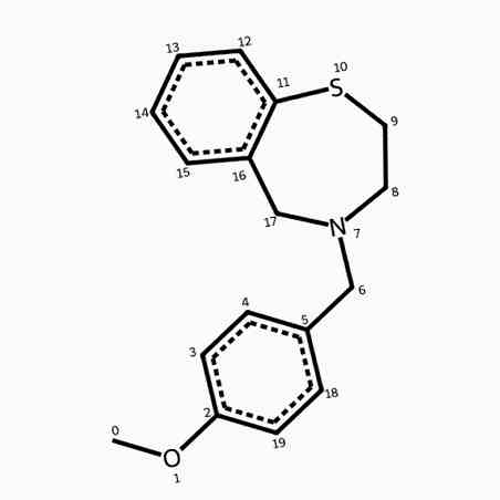 COc1ccc(CN2CCSc3ccccc3C2)cc1